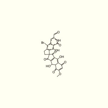 COC1=CC(=O)C2=C(O)C3=C(C(=O)C4(CCc5c4c(O)c4c(=O)[nH]c(C=O)cc4c5Br)C3=O)C(O)C2C1=O